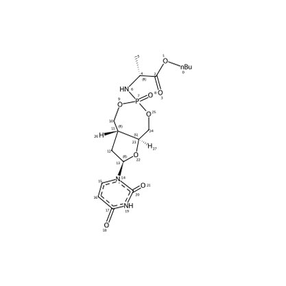 CCCCOC(=O)[C@@H](C)NP1(=O)OC[C@H]2C[C@H](n3ccc(=O)[nH]c3=O)O[C@@H]2CO1